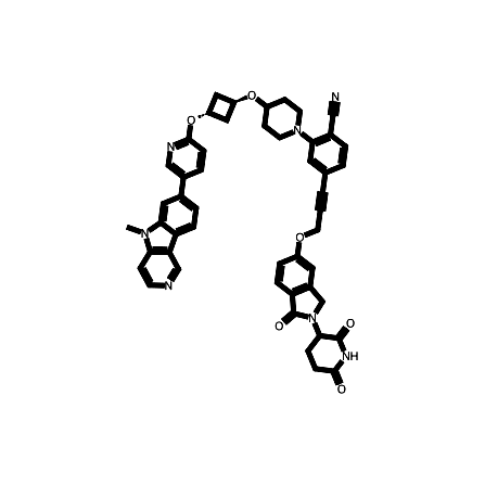 Cn1c2ccncc2c2ccc(-c3ccc(O[C@H]4C[C@H](OC5CCN(c6cc(C#CCOc7ccc8c(c7)CN(C7CCC(=O)NC7=O)C8=O)ccc6C#N)CC5)C4)nc3)cc21